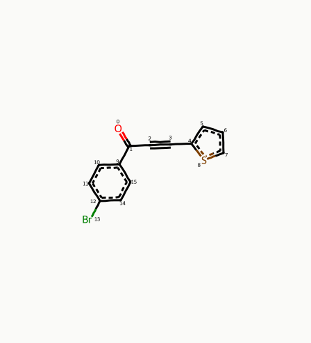 O=C(C#Cc1cccs1)c1ccc(Br)cc1